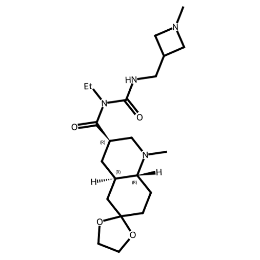 CCN(C(=O)NCC1CN(C)C1)C(=O)[C@@H]1C[C@@H]2CC3(CC[C@H]2N(C)C1)OCCO3